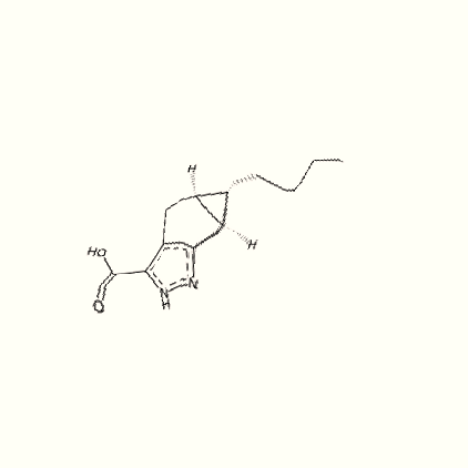 CCCC[C@H]1[C@@H]2Cc3c(n[nH]c3C(=O)O)[C@H]12